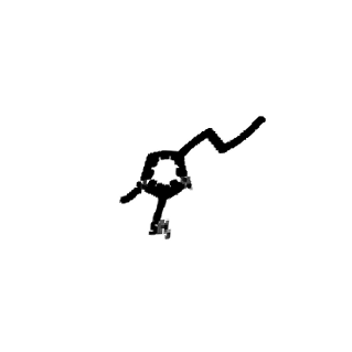 CCCc1cn(C)c([SiH3])n1